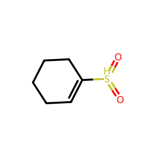 O=[SH](=O)C1=CCCCC1